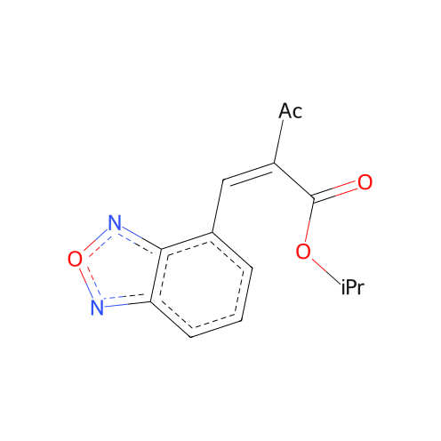 CC(=O)C(=Cc1cccc2nonc12)C(=O)OC(C)C